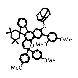 COc1ccc(C2(c3ccc(OC)cc3)C=Cc3c4c(c5cc(OC6C7CC8CC(C7)CC6C8)c(-c6ccc(OC)cc6OC)cc5c3O2)-c2ccccc2C42CC(C)(C)CC(C)(C)C2)cc1